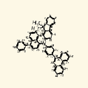 CC1(C)c2ccccc2-c2ccc(N(c3ccc(-c4cc5ccccc5c5ccccc45)cc3)c3ccc(-c4ccccc4)c4ccccc34)cc21